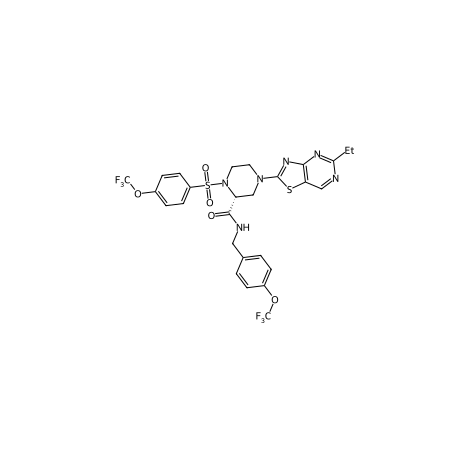 CCc1ncc2sc(N3CCN(S(=O)(=O)c4ccc(OC(F)(F)F)cc4)[C@@H](C(=O)NCc4ccc(OC(F)(F)F)cc4)C3)nc2n1